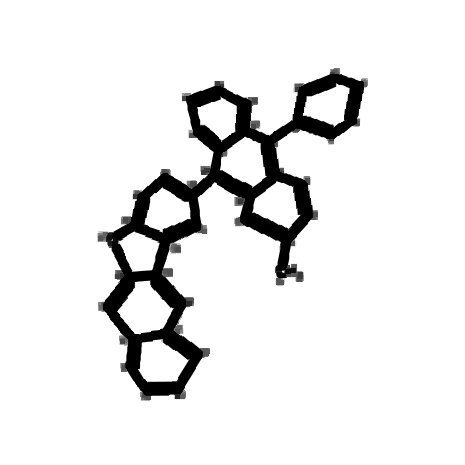 Cc1ccc2c(-c3ccccc3)c3ccccc3c(-c3ccc4oc5cc6ccccc6cc5c4c3)c2c1